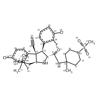 CC(C)(C)C[C@@H]1N[C@@H](C(=O)NC2(C)CCN(S(C)(=O)=O)CC2)[C@H](c2cccc(Cl)c2F)[C@@]1(C#N)c1ccc(Cl)cc1F